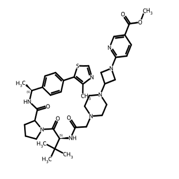 COC(=O)c1ccc(N2CC(N3CCN(CC(=O)N[C@H](C(=O)N4CCCC4C(=O)N[C@@H](C)c4ccc(-c5scnc5C)cc4)C(C)(C)C)CC3)C2)nc1